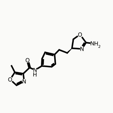 Cc1ocnc1C(=O)Nc1ccc(CC[C@H]2COC(N)=N2)cc1